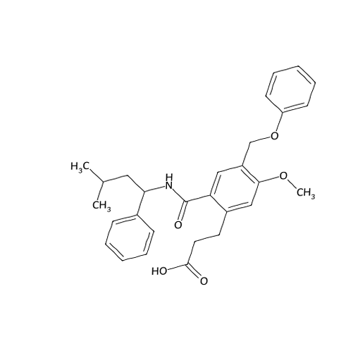 COc1cc(CCC(=O)O)c(C(=O)NC(CC(C)C)c2ccccc2)cc1COc1ccccc1